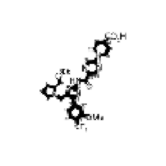 CCOC[C@@H]1CCCN1Cc1sc(NC(=O)c2cnc(N3CCC(C(=O)O)CC3)cn2)nc1-c1ccc(C(F)(F)F)c(OC)c1